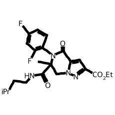 CCOC(=O)c1cc2n(n1)CC(C)(C(=O)NCCC(C)C)N(c1ccc(F)cc1F)C2=O